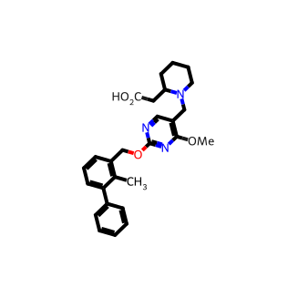 COc1nc(OCc2cccc(-c3ccccc3)c2C)ncc1CN1CCCCC1CC(=O)O